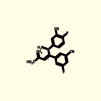 C=C(/C=C(/c1cc(F)cc(C#N)c1)N(N)c1ccc(F)c(C#N)c1)C(=O)O